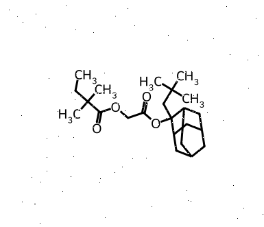 CCC(C)(C)C(=O)OCC(=O)OC1(CC(C)(C)C)C2CC3CC(C2)CC1C3